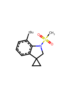 CC(C)(C)c1cccc2c1N(S(C)(=O)=O)CC21CC1